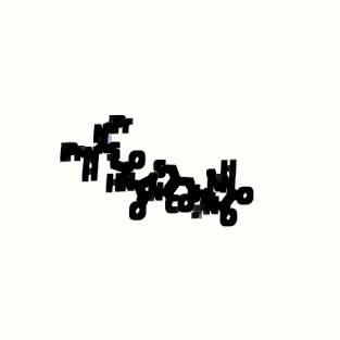 CC(C)/N=C(/NC(C)C)SCC(=O)NC1C(=O)N2C(C(=O)O)=C(CSc3nc(=O)c(=O)[nH]n3C)CSC12